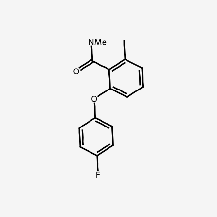 CNC(=O)c1c(C)cccc1Oc1ccc(F)cc1